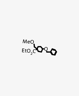 CCOC(=O)C1(CCOC)CCC(OCc2ccccc2)CC1